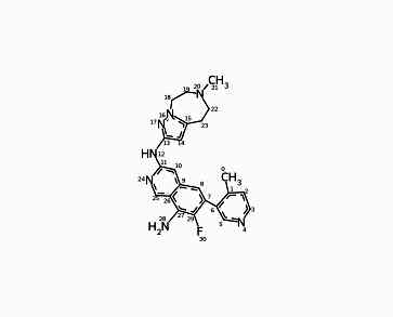 Cc1ccncc1-c1cc2cc(Nc3cc4n(n3)CCN(C)CC4)ncc2c(N)c1F